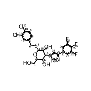 OCC1O[C@H](SCc2ccc(Cl)c(Cl)c2)C(O)[C@@H](n2cc(-c3cc(F)c(F)c(F)c3)nn2)[C@H]1O